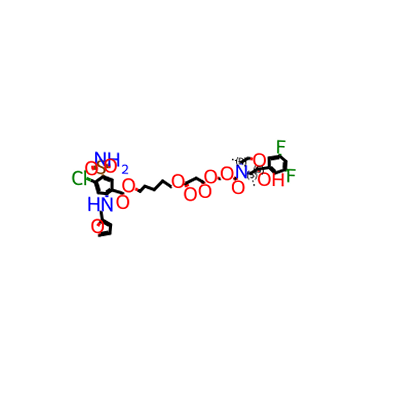 C[C@@H]1CO[C@@](O)(c2cc(F)cc(F)c2)[C@H](C)N1C(=O)OCOC(=O)CC(=O)OCCCCCOC(=O)c1cc(S(N)(=O)=O)c(Cl)cc1NCc1ccco1